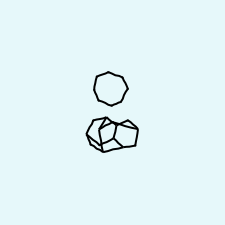 C1C2CC3C4CC5CC(C14)C(C2)C3C5.C1CCCCCCC1